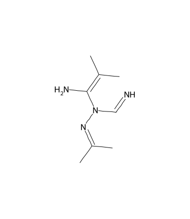 CC(C)=NN(C=N)C(N)=C(C)C